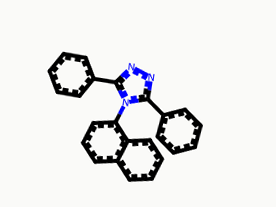 c1ccc(-c2nnc(-c3ccccc3)n2-c2cccc3ccccc23)cc1